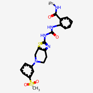 CC(C)NC(=O)c1ccccc1NC(=O)Nc1nc2c(s1)CN(c1cccc(S(C)(=O)=O)c1)CC2